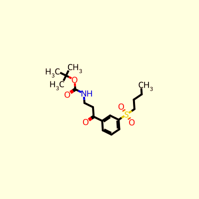 CCCCS(=O)(=O)c1cccc(C(=O)CCNC(=O)OC(C)(C)C)c1